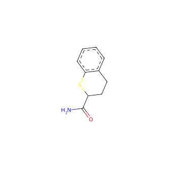 NC(=O)C1CCc2ccccc2S1